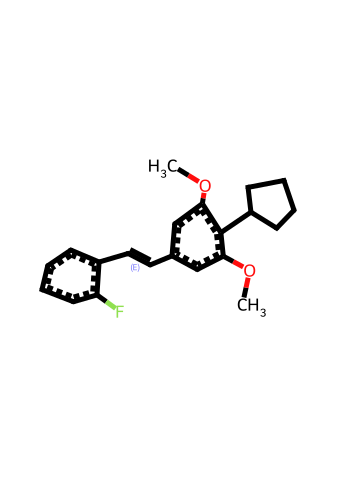 COc1cc(/C=C/c2ccccc2F)cc(OC)c1C1CCCC1